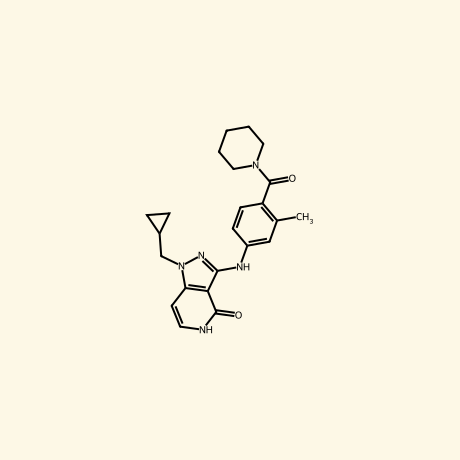 Cc1cc(Nc2nn(CC3CC3)c3cc[nH]c(=O)c23)ccc1C(=O)N1CCCCC1